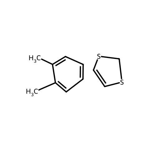 C1=CSCS1.Cc1ccccc1C